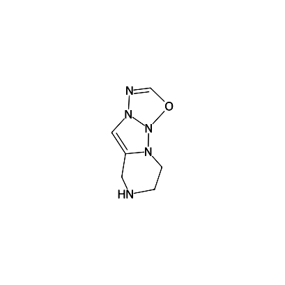 C1=NN2C=C3CNCCN3N2O1